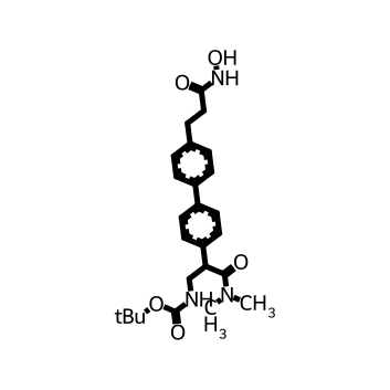 CN(C)C(=O)C(CNC(=O)OC(C)(C)C)c1ccc(-c2ccc(CCC(=O)NO)cc2)cc1